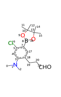 CN(C)c1cc(Cl)c(B2OC(C)(C)C(C)(C)O2)cc1CCC=O